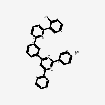 Oc1ccccc1-c1cccc(-c2cccc(-c3cc(-c4ccccc4)nc(-c4ccccc4)n3)c2)n1.[CsH]